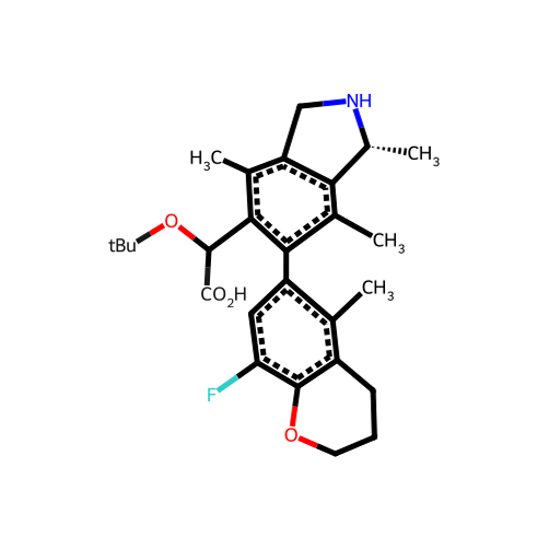 Cc1c(-c2c(C)c3c(c(C)c2C(OC(C)(C)C)C(=O)O)CN[C@@H]3C)cc(F)c2c1CCCO2